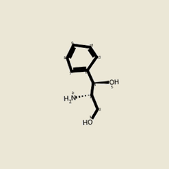 N[C@@H](CO)[C@H](O)c1ccccc1